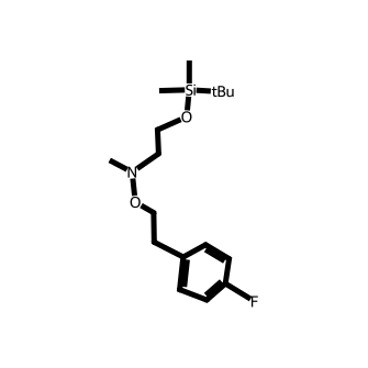 CN(CCO[Si](C)(C)C(C)(C)C)OCCc1ccc(F)cc1